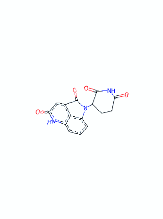 O=C1CCC(N2C(=O)c3cc(=O)[nH]c4cccc2c34)C(=O)N1